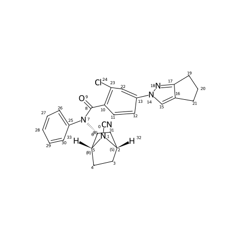 N#CN1[C@H]2CC[C@@H]1[C@H](N(C(=O)c1ccc(-n3cc4c(n3)CCC4)cc1Cl)c1ccccc1)C2